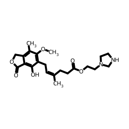 COc1c(C)c2c(c(O)c1CC=C(C)CCC(=O)OCCN1CCNC1)C(=O)OC2